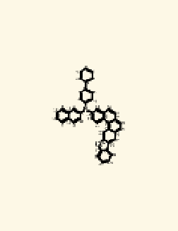 c1ccc(-c2ccc(N(c3ccc4ccccc4c3)c3ccc4c(ccc5ccc6cc7c(cc6c54)oc4ccccc47)c3)cc2)cc1